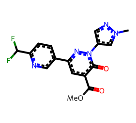 COC(=O)c1cc(-c2ccc(C(F)F)nc2)nn(-c2cnn(C)c2)c1=O